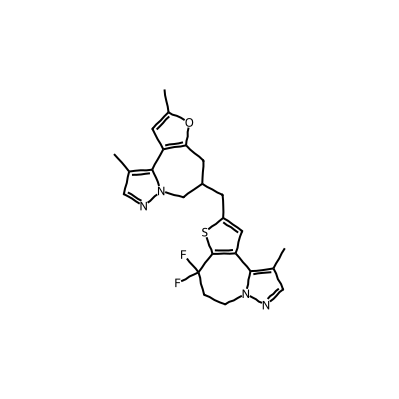 Cc1cc2c(o1)CC(Cc1cc3c(s1)C(F)(F)CCn1ncc(C)c1-3)Cn1ncc(C)c1-2